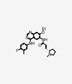 CCOc1cc2ncnc(Nc3ccc(F)c(C)c3)c2cc1NC(=O)/C=C/[C@@H]1CCCN1C